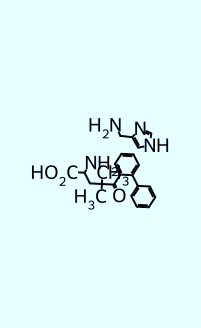 CC(C)(CC(N)C(=O)O)C(=O)c1ccccc1-c1ccccc1.NCc1c[nH]cn1